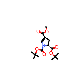 COC(=O)C1=CN(C(=O)OC(C)(C)C)[C@H](C(=O)OC(C)(C)C)C1